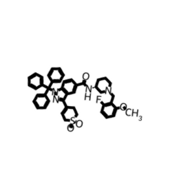 COc1cccc(F)c1CN1CCC[C@@H](NC(=O)c2ccc3c(c2)c(C2=CCS(=O)(=O)CC2)nn3C(c2ccccc2)(c2ccccc2)c2ccccc2)C1